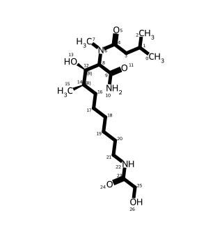 CC(C)CC(=O)N(C)C(C(N)=O)[C@H](O)[C@H](C)CCCCCCNC(=O)CO